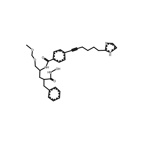 COCOCC(CC(Cc1ccccc1)C(=O)NO)NC(=O)c1ccc(C#CCCCCc2ncc[nH]2)cc1